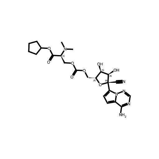 CN(C)[C@@H](COC(=O)OC[C@H]1O[C@@](C#N)(c2ccc3c(N)ncnn23)[C@H](O)[C@@H]1O)C(=O)OC1CCCC1